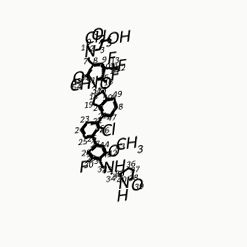 CCN(CC(=O)O)Cc1cc(C(F)(F)F)c(O[C@H]2CCc3c(-c4cccc(-c5cc(F)c(CNC[C@@H]6CCC(=O)N6)c(OC)c5)c4Cl)cccc32)nc1OC